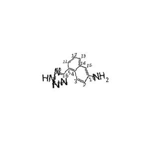 Nc1ccc2c(-c3nn[nH]n3)cccc2c1